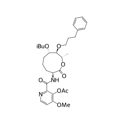 COc1ccnc(C(=O)N[C@H]2CCC[C@H](OCC(C)C)[C@@H](OCCCc3ccccc3)[C@H](C)OC2=O)c1OC(C)=O